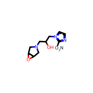 O=[N+]([O-])c1nccn1CC(O)CN1CC2OC2C1